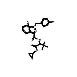 CC(C)(C)C(NC(=O)c1nn(Cc2ccc(F)cc2)c2c(F)cccc12)C(=O)NC1CC1